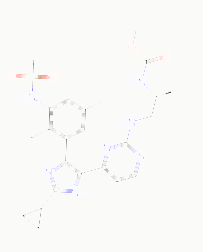 COC(=O)N[C@@H](C)CNc1nccc(-c2[nH]c(C3CC3)nc2-c2cc(Cl)cc(NS(C)(=O)=O)c2Cl)n1